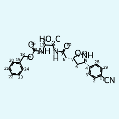 N#Cc1ccc([C@@H]2C[C@H](CC(=O)NCC(NC(=O)OCc3ccccc3)C(=O)O)ON2)cc1